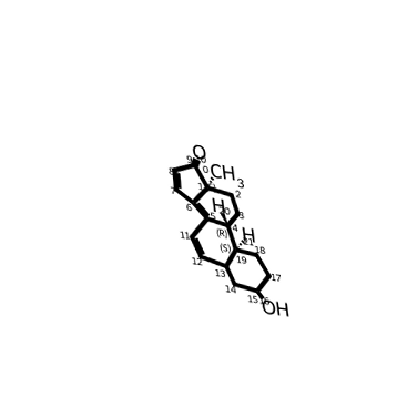 C[C@]12CC[C@H]3C(=C1C=CC2=O)C=CC1CC(O)CC[C@@H]13